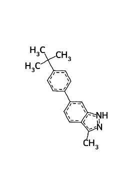 Cc1n[nH]c2cc(-c3ccc(C(C)(C)C)cc3)ccc12